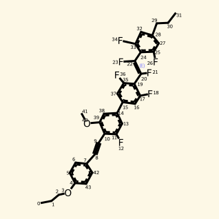 CCCOc1ccc(C#Cc2c(F)cc(-c3cc(F)c(/C(F)=C(\F)c4c(F)cc(CCC)cc4F)c(F)c3)cc2OC)cc1